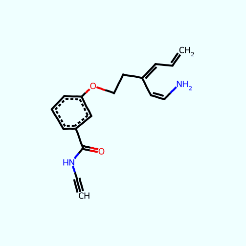 C#CNC(=O)c1cccc(OCCC(/C=C\N)=C/C=C)c1